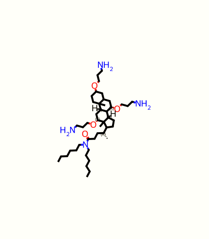 CCCCCCN(CCCCCC)C(=O)CC[C@@H](C)C1CC[C@H]2C3[C@H](OCCCN)CC4CC(OCCCN)CCC4(C)[C@H]3C[C@H](OCCCN)C12C